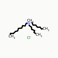 CCCCCCCCCC[N+](C)(CCCCCC)CCCCCCC.[Cl-]